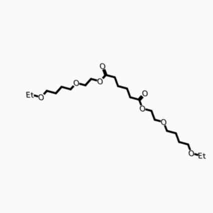 CCOCCCCOCCOC(=O)CCCCC(=O)OCCOCCCCOCC